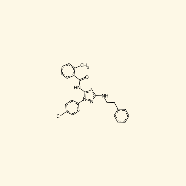 Cc1ccccc1C(=O)Nc1nc(NCCc2ccccc2)nn1-c1ccc(Cl)cc1